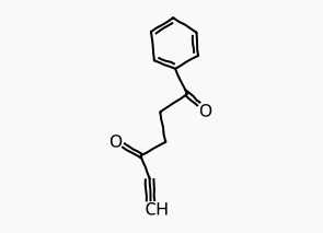 C#CC(=O)CCC(=O)c1ccccc1